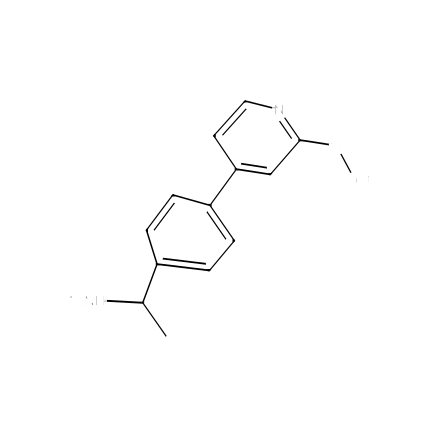 CCCOc1cc(-c2ccc(C(C)NC(C)=O)cc2)ccn1